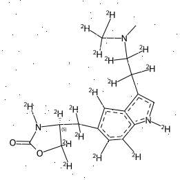 [2H]c1c(C([2H])([2H])[C@]2([2H])N([2H])C(=O)OC2([2H])[2H])c([2H])c2c(C([2H])([2H])C([2H])([2H])N(C)C([2H])([2H])[2H])cn([2H])c2c1[2H]